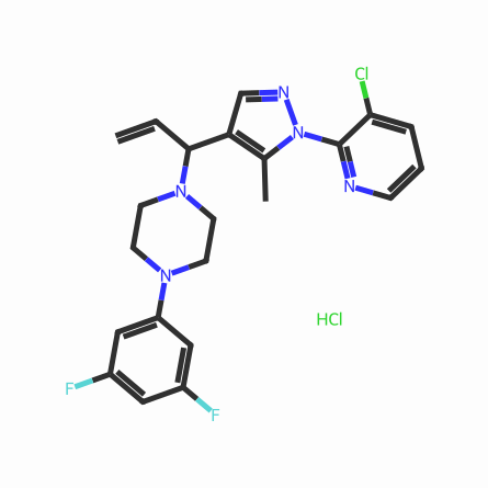 C=CC(c1cnn(-c2ncccc2Cl)c1C)N1CCN(c2cc(F)cc(F)c2)CC1.Cl